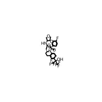 O=C(C[C@@H]1CCc2cc(C(O)(C(F)(F)F)C(F)(F)F)ccc2N1S(=O)(=O)c1ccc(F)cc1)NC1COCC1=O